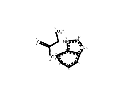 C=C(CC(=O)O)C(=O)O.c1ccc2[nH]nnc2c1